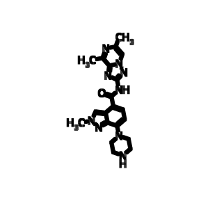 Cc1cn2nc(NC(=O)c3ccc(N4CCNCC4)c4nn(C)cc34)nc2c(C)n1